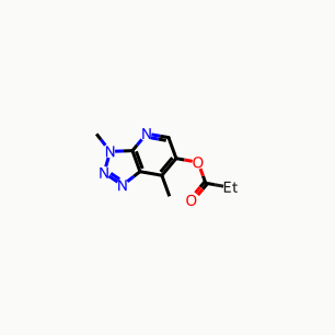 CCC(=O)Oc1cnc2c(nnn2C)c1C